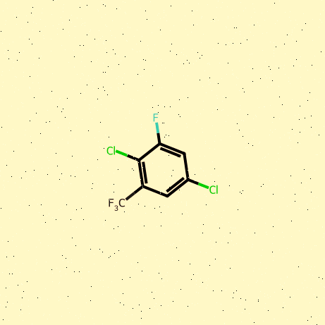 Fc1cc(Cl)cc(C(F)(F)F)c1Cl